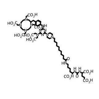 O=C(O)CCC(NC(=O)NC(CCCCNC(=O)CCCCCCCCCCN1CCN(c2nc(Nc3ccc(CC4CN(CC(=O)O)CCN(CC(=O)O)CCN(CC(=O)O)CCN4CC(=O)O)cc3)nc(N(CC(=O)O)CC(=O)O)n2)CC1)C(=O)O)C(=O)O